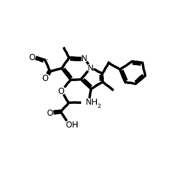 Cc1nn2c(Cc3ccccc3)c(C)c(N)c2c(OC(C)C(=O)O)c1C(=O)[C]=O